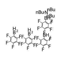 Bc1c(F)c(F)c(F)c(F)c1F.Bc1c(F)c(F)c(F)c(F)c1F.Bc1c(F)c(F)c(F)c(F)c1F.Bc1c(F)c(F)c(F)c(F)c1F.CCCCN(CCCC)CCCC